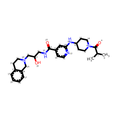 CC(C)C(=O)N1CCC(Nc2cc(C(=O)NCC(O)CN3CCc4ccccc4C3)ccn2)CC1